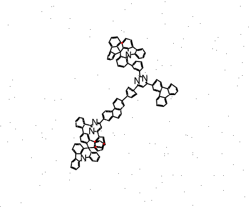 c1ccc(-c2cc(-c3ccc4c(ccc5cc(-c6ccc(-c7cc(-c8ccc9c%10ccccc%10c%10ccccc%10c9c8)nc(-c8cccc(-c9cccc%10c9-n9c%11ccccc%11c%11cccc(c%119)C%109c%10ccccc%10-c%10ccccc%109)c8)n7)cc6)ccc54)c3)nc(-c3ccccc3-c3ccc4c(c3)-c3ccccc3C43c4ccccc4-n4c5ccccc5c5cccc3c54)n2)cc1